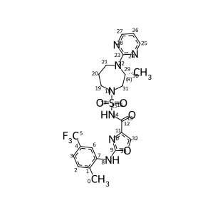 Cc1ccc(C(F)(F)F)cc1Nc1nc(C(=O)NS(=O)(=O)N2CCCN(c3ncccn3)[C@H](C)C2)co1